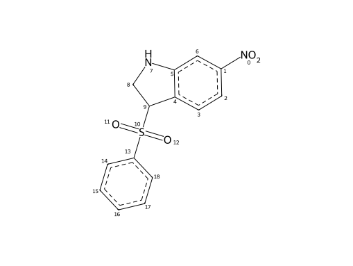 O=[N+]([O-])c1ccc2c(c1)NCC2S(=O)(=O)c1ccccc1